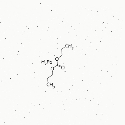 CCCOC(=O)OCCC.[PoH2]